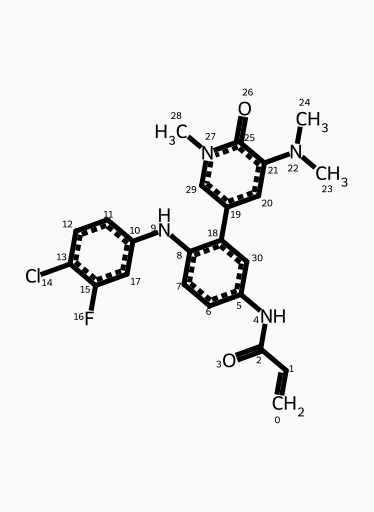 C=CC(=O)Nc1ccc(Nc2ccc(Cl)c(F)c2)c(-c2cc(N(C)C)c(=O)n(C)c2)c1